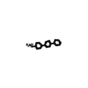 NNc1ccc(-c2ccc(-c3cc[c]cc3)cc2)cc1